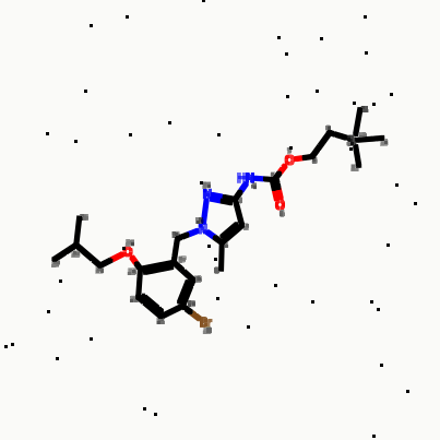 Cc1cc(NC(=O)OCC[Si](C)(C)C)nn1Cc1cc(Br)ccc1OCC(C)C